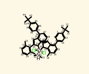 CC1=Cc2c(-c3ccc(C(C)(C)C)cc3)ccc(C)c2[CH]1[Zr]([Cl])([Cl])([CH]1C(c2c(C)cccc2C)=Cc2c(-c3ccc(C(C)(C)C)cc3)cccc21)[SiH](C)C